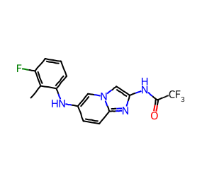 Cc1c(F)cccc1Nc1ccc2nc(NC(=O)C(F)(F)F)cn2c1